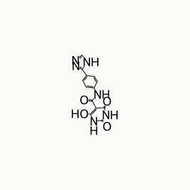 O=C(Nc1ccc(-c2nnc[nH]2)cc1)c1c(O)[nH]c(=O)[nH]c1=O